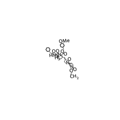 C=CCOC(=O)N1CC[C@@H](N2CCC(=CC3=C(C(=O)OCc4ccc(OC)cc4)N4C(=O)[C@@H](NC(=O)Cc5ccccc5)[C@H]4SC3)C2=O)C1